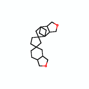 C1CC2(CCC3(C2)CC24CC3(C2)C2COCC24)CC2COCC12